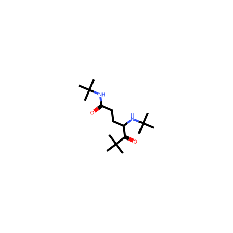 CC(C)(C)NC(=O)CCC(NC(C)(C)C)C(=O)C(C)(C)C